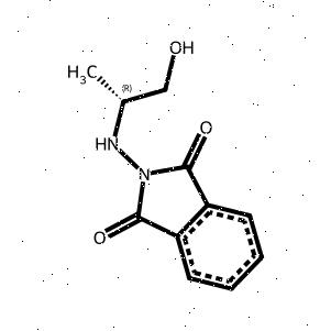 C[C@H](CO)NN1C(=O)c2ccccc2C1=O